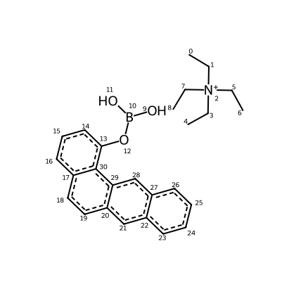 CC[N+](CC)(CC)CC.OB(O)Oc1cccc2ccc3cc4ccccc4cc3c12